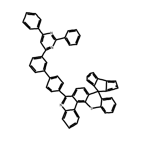 c1ccc(-c2cc(-c3cccc(-c4ccc(-c5nc6ccccc6c6c7c(ccc56)C5(c6ccccc6S7)c6ccccc6-c6ccccc65)cc4)c3)nc(-c3ccccc3)n2)cc1